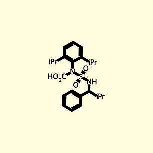 CC(C)c1cccc(C(C)C)c1N(C(=O)O)S(=O)(=O)NC(c1ccccc1)C(C)C